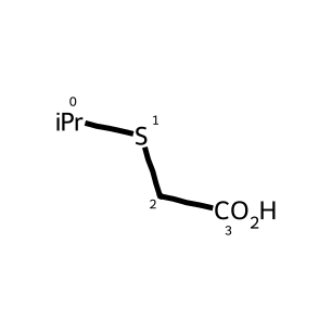 CC(C)SCC(=O)O